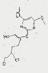 COc1cc(OC)nc(SC(CO)CCC(Cl)CCl)n1